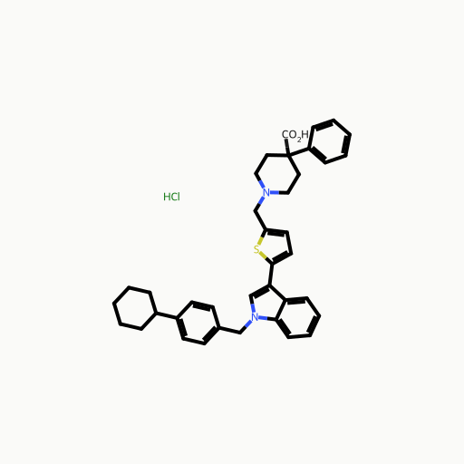 Cl.O=C(O)C1(c2ccccc2)CCN(Cc2ccc(-c3cn(Cc4ccc(C5CCCCC5)cc4)c4ccccc34)s2)CC1